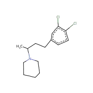 CC(CCc1ccc(Cl)c(Cl)c1)N1CCCCC1